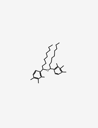 CCCCCCCCC(OC(CCCCCCCC)c1ccc(C)c(C)c1C)c1ccc(C)c(C)c1C